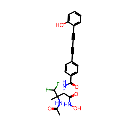 CC(=O)NC(C)(C(F)F)[C@H](NC(=O)c1ccc(C#CC#Cc2ccccc2O)cc1)C(=O)NO